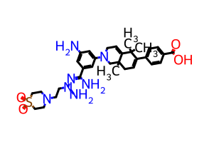 CC12CC=C(c3ccc(C(=O)O)cc3)C(C)(C)C1=CCN(c1cc(N)cc(/C(N)=N/N(N)CCN3CCS(=O)(=O)CC3)c1)C2